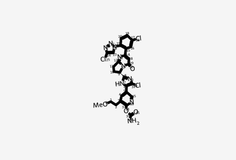 COCCc1cc(-c2[nH]c([C@@H]3CCc4nc(-c5cc(Cl)ccc5-n5cc(Cl)nn5)cc(=O)n43)nc2Cl)cnc1OC(N)=O